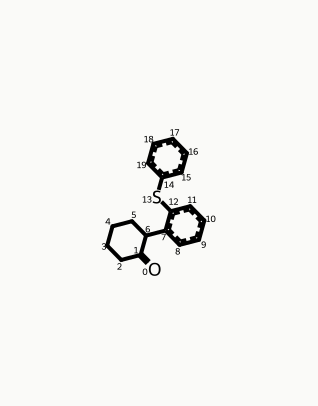 O=C1CCCCC1c1ccccc1Sc1ccccc1